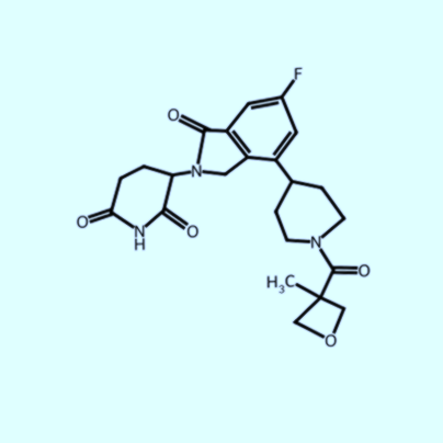 CC1(C(=O)N2CCC(c3cc(F)cc4c3CN(C3CCC(=O)NC3=O)C4=O)CC2)COC1